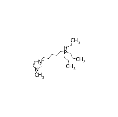 CCC[PH](CCC)(CCC)CCCCC[n+]1ccn(C)c1